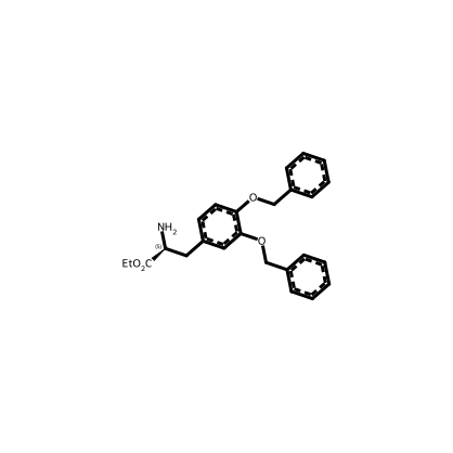 CCOC(=O)[C@@H](N)Cc1ccc(OCc2ccccc2)c(OCc2ccccc2)c1